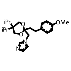 COc1ccc(CCC2(Cn3ccnc3)OCC(C(C)C)(C(C)C)CO2)cc1